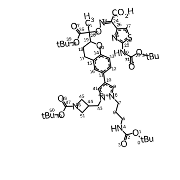 CC(C)(C)OC(=O)NCCCn1cc(-c2ccc3c(c2)CCC(C(C)(ON=C(C(=O)O)c2csc(NC(=O)OC(C)(C)C)n2)C(=O)OC(C)(C)C)O3)c[n+]1CC1CN(C(=O)OC(C)(C)C)C1